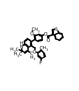 COc1cc(OC(=O)c2csc3ccccc23)ccc1-c1ccc2c(c1COc1cc(F)ccc1C)C(C)=CC(C)(C)N2